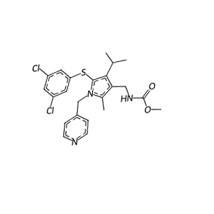 COC(=O)NCc1c(C(C)C)c(Sc2cc(Cl)cc(Cl)c2)n(Cc2ccncc2)c1C